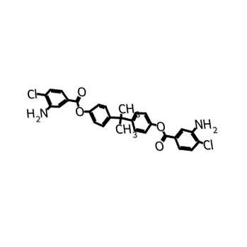 CC(C)(c1ccc(OC(=O)c2ccc(Cl)c(N)c2)cc1)c1ccc(OC(=O)c2ccc(Cl)c(N)c2)cc1